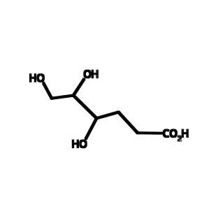 O=C(O)CCC(O)C(O)CO